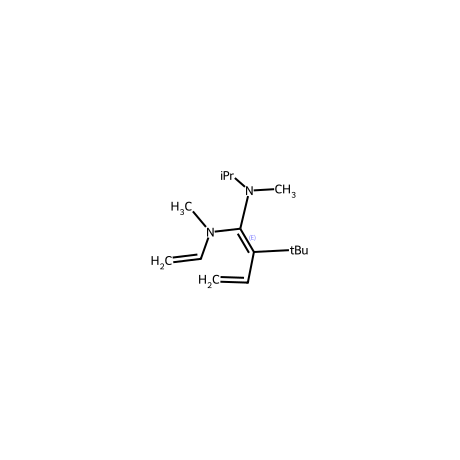 C=C/C(=C(\N(C)C=C)N(C)C(C)C)C(C)(C)C